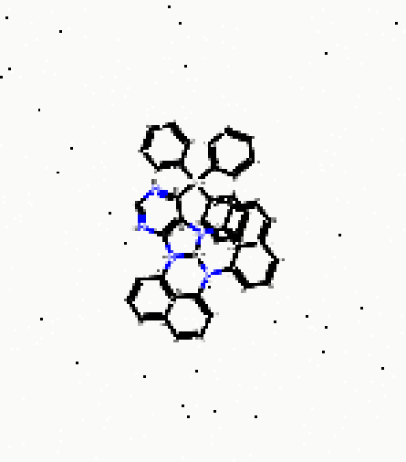 c1ccc([Si](c2ccccc2)(c2ccccc2)c2ncnc3c2N2B4N3c3cccc5cccc(c35)N4c3cccc4cccc2c34)cc1